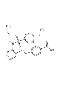 CCCCN(c1ccccc1CCc1ccc(C(=O)O)cc1)S(=O)(=O)c1ccc(CC)cc1